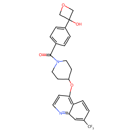 O=C(c1ccc(C2(O)COC2)cc1)N1CCC(Oc2ccnc3cc(C(F)(F)F)ccc23)CC1